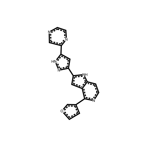 c1cnc(-c2cc(-c3cc4c(-c5ccoc5)nccc4[nH]3)n[nH]2)cn1